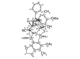 COc1c(C)cc2c(c1O)[C@@H]1C3[C@@H]4SCC(NCc5ccccc5)C(=O)OC[C@@H](c5c6c(c(C)c(OC(C)=O)c54)OCO6)N3[C@@H](C#N)[C@H](C2)N1C